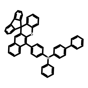 c1ccc(-c2ccc(N(c3ccccc3)c3ccc(-c4c5c(cc6ccccc46)C4(c6ccccc6S5)c5ccccc5-c5ccccc54)cc3)cc2)cc1